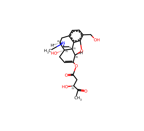 CC(=O)[C@@H](O)CC(=O)OC1=CC[C@@]2(O)[C@H]3Cc4ccc(CO)c5c4[C@@]2(CCN3C)[C@H]1O5